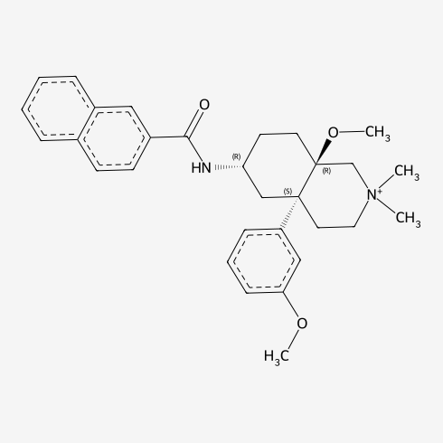 COc1cccc([C@@]23CC[N+](C)(C)C[C@@]2(OC)CC[C@@H](NC(=O)c2ccc4ccccc4c2)C3)c1